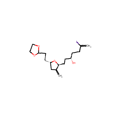 C=C(I)CC[C@H](O)CC[C@@H]1O[C@@H](CCC2OCCO2)CC1=C